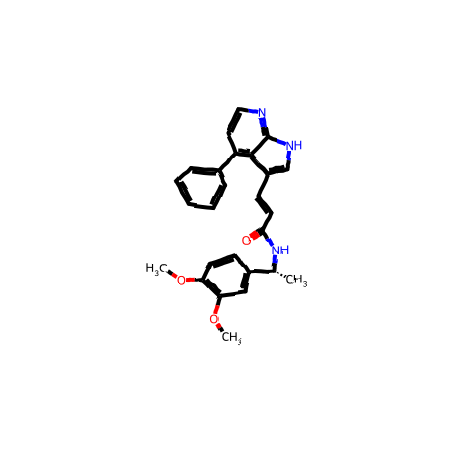 COc1ccc([C@@H](C)NC(=O)/C=C/c2c[nH]c3nccc(-c4ccccc4)c23)cc1OC